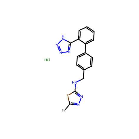 CCc1nnc(NCc2ccc(-c3ccccc3-c3nnn[nH]3)cc2)s1.Cl